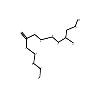 C=C(CCCCC)CCCCC(C)CCC